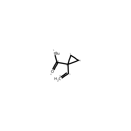 C=CC1(C(=O)C(C)(C)C)CC1